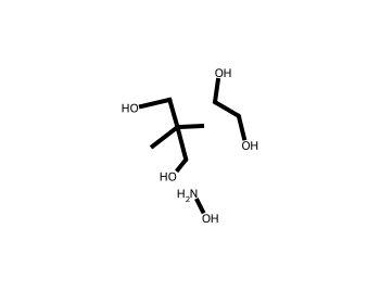 CC(C)(CO)CO.NO.OCCO